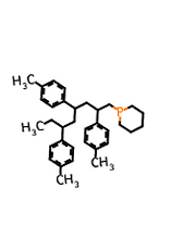 CCC(CC(CC(CP1CCCCC1)c1ccc(C)cc1)c1ccc(C)cc1)c1ccc(C)cc1